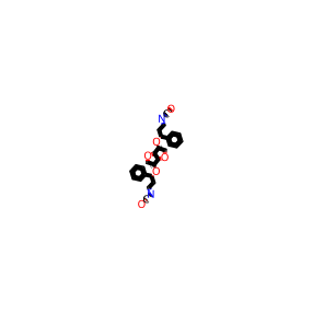 O=C=NCCC(O[C@H]1COC2C1OC[C@@H]2OC(CCN=C=O)c1ccccc1)c1ccccc1